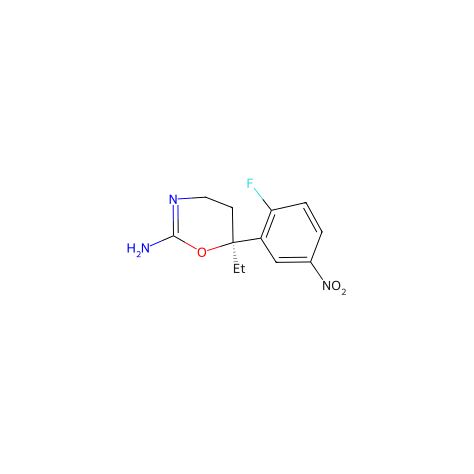 CC[C@@]1(c2cc([N+](=O)[O-])ccc2F)CCN=C(N)O1